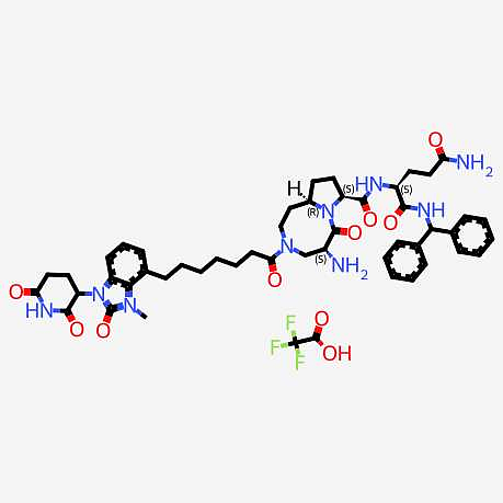 Cn1c(=O)n(C2CCC(=O)NC2=O)c2cccc(CCCCCCC(=O)N3CC[C@H]4CC[C@@H](C(=O)N[C@@H](CCC(N)=O)C(=O)NC(c5ccccc5)c5ccccc5)N4C(=O)[C@@H](N)C3)c21.O=C(O)C(F)(F)F